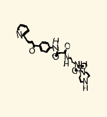 O=C(NCCNS(=O)(=O)N1CCNCC1)C(=O)Nc1ccc(C(=O)/C=C/c2ccccn2)cc1